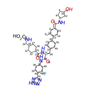 Cc1cc(C(=O)N[C@@H]2CC[C@@H](O)C2)ccc1-c1ccc(C[C@H](NC(=O)C2CCC(CNC(=O)O)CC2)C(=O)Nc2ccc(-c3nn[nH]n3)c(F)c2)cc1